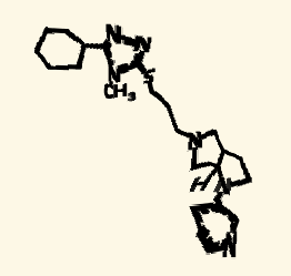 Cn1c(SCCCN2CC3CCN(c4cccnc4)[C@@H]3C2)nnc1C1CCCCC1